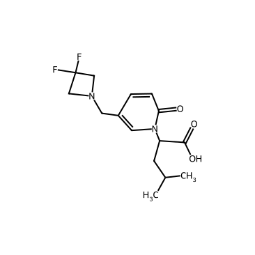 CC(C)CC(C(=O)O)n1cc(CN2CC(F)(F)C2)ccc1=O